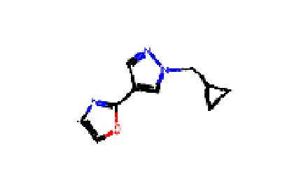 [c]1coc(-c2cnn(CC3CC3)c2)n1